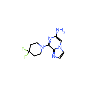 Nc1cn2ccnc2c(N2CCC(F)(F)CC2)n1